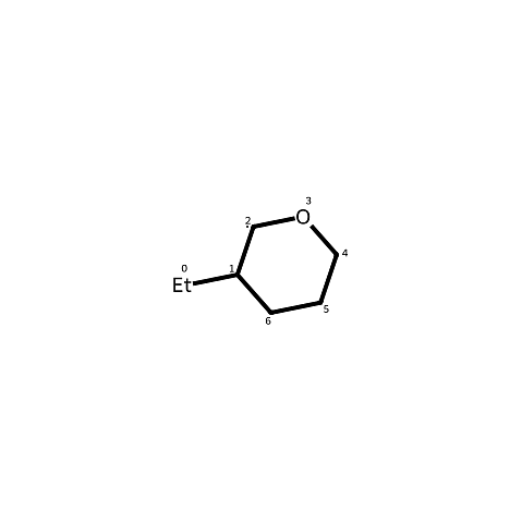 CCC1[CH]OCCC1